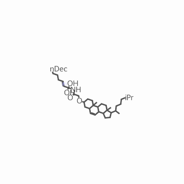 CCCCCCCCCCCCC/C=C/C(O)(O)NC(=O)COC1CCC2(C)C(C=CC3C2CCC2(C)C(C(C)CCCC(C)C)CCC32)C1